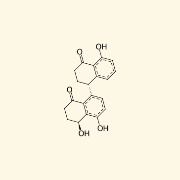 O=C1CC[C@@H](c2ccc(O)c3c2C(=O)CC[C@@H]3O)c2cccc(O)c21